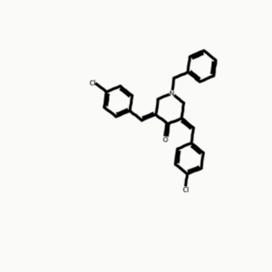 O=C1C(=Cc2ccc(Cl)cc2)CN(Cc2ccccc2)CC1=Cc1ccc(Cl)cc1